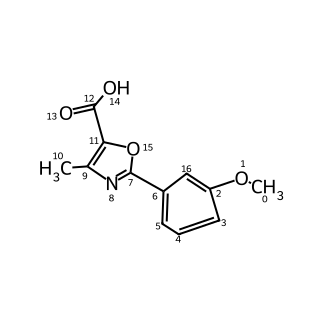 COc1cccc(-c2nc(C)c(C(=O)O)o2)c1